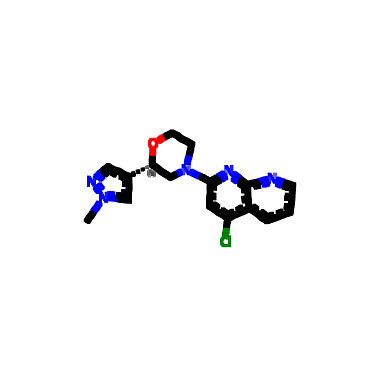 Cn1cc([C@H]2CN(c3cc(Cl)c4cccnc4n3)CCO2)cn1